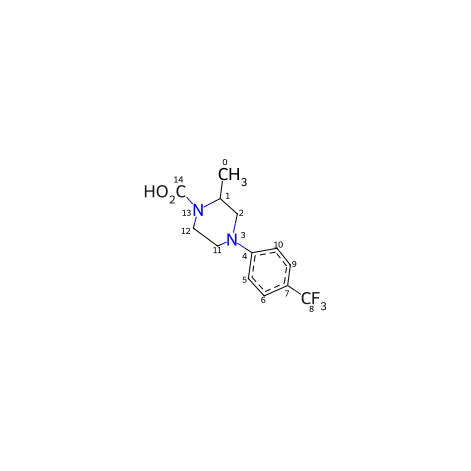 CC1CN(c2ccc(C(F)(F)F)cc2)CCN1C(=O)O